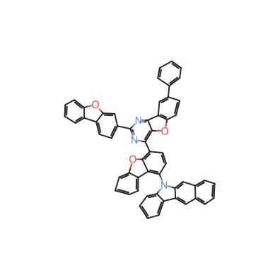 c1ccc(-c2ccc3oc4c(-c5ccc(-n6c7ccccc7c7cc8ccccc8cc76)c6c5oc5ccccc56)nc(-c5ccc6c(c5)oc5ccccc56)nc4c3c2)cc1